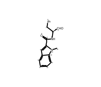 CC(C)C[C@@H](C=O)NC(=O)c1cc2ccccc2n1C